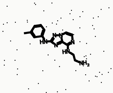 Cc1cccc(Nc2nc3c(NCCN)nccn3n2)c1